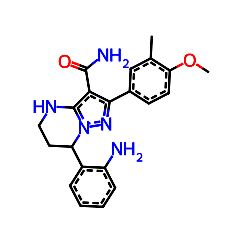 COc1ccc(-c2nn3c(c2C(N)=O)NCCC3c2ccccc2N)cc1C